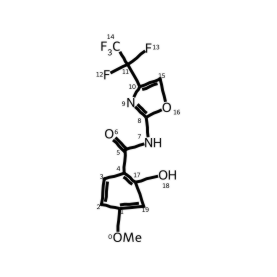 COc1ccc(C(=O)Nc2nc(C(F)(F)C(F)(F)F)co2)c(O)c1